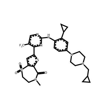 CN1CCS(=O)(=O)c2cc(-c3nc(Nc4ccc(N5CCN(CC6CC6)CC5)cc4C4CC4)ncc3C(F)(F)F)sc2C1=O